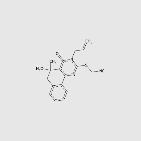 [C-]#[N+]CSc1nc2c(c(=O)n1CC=C)C(C)(C)Cc1ccccc1-2